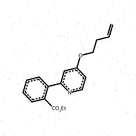 C=CCCOc1ccnc(-c2ccccc2C(=O)OCC)c1